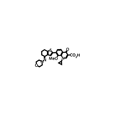 COc1c(-c2cc3c(s2)CCCC3=NN2CCOCC2)ccc2c(=O)c(C(=O)O)cn(C3CC3)c12